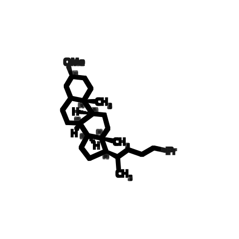 CO[C@H]1CC[C@@]2(C)C(CC[C@H]3[C@@H]4CC[C@H](C(C)CCCC(C)C)[C@@]4(C)CC[C@@H]32)C1